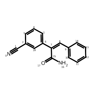 N#Cc1cccc(/C(=C/c2ccccc2)C(N)=O)c1